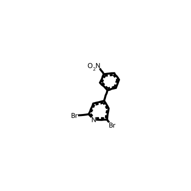 O=[N+]([O-])c1cccc(-c2cc(Br)nc(Br)c2)c1